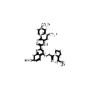 CCNC(=O)C1CCCN1C(=O)COc1cc(C(=O)NC(CCC(=O)O)C(=O)N2CCN(C(=O)OCC)CC2)nc2cc(OC)ccc12